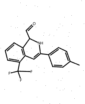 Cc1ccc(C2=Cc3c(cccc3C(F)(F)F)C(C=O)N2)cc1